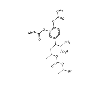 COC(=O)Oc1ccc(C(CC(C)OC(=O)OC(C)C(C)C)[C@H](N)C(=O)O)cc1OC(=O)OC